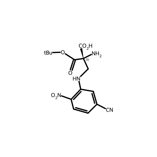 CC(C)(C)OC(=O)[C@](N)(CNc1cc(C#N)ccc1[N+](=O)[O-])C(=O)O